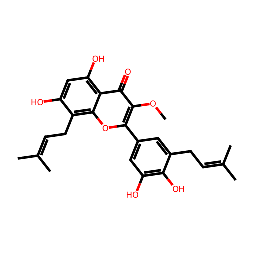 COc1c(-c2cc(O)c(O)c(CC=C(C)C)c2)oc2c(CC=C(C)C)c(O)cc(O)c2c1=O